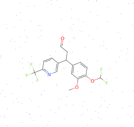 COc1cc(C(CC=O)c2ccc(C(F)(F)F)nc2)ccc1OC(F)F